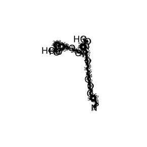 N#CSc1ccc(OCCOCCOCCSCCCOCCN(CCOCCOCCN(CCO)Cc2cccc(C(=O)O)n2)Cc2cccc(C(=O)O)n2)cc1